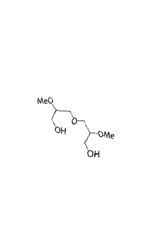 COC(CO)COCC(CO)OC